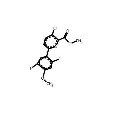 COC(=O)c1nc(-c2cc(F)c(OC)cc2F)ccc1Cl